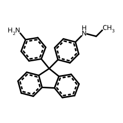 CCNc1ccc(C2(c3ccc(N)cc3)c3ccccc3-c3ccccc32)cc1